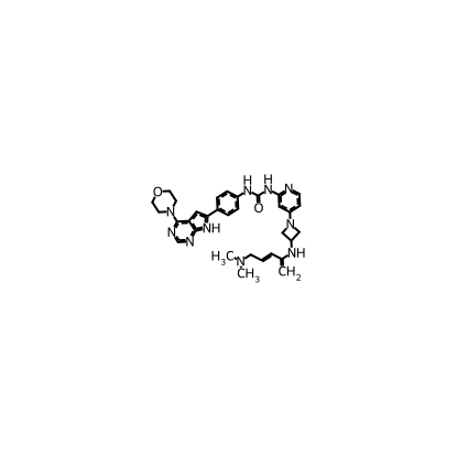 C=C(/C=C/CN(C)C)NC1CN(c2ccnc(NC(=O)Nc3ccc(-c4cc5c(N6CCOCC6)ncnc5[nH]4)cc3)c2)C1